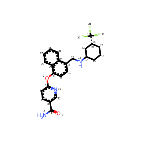 NC(=O)c1ccc(Oc2ccc(CNC3CCC[C@@H](C(F)(F)F)C3)c3ccccc23)nc1